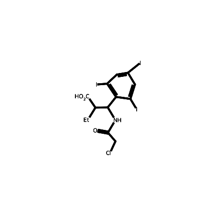 CCC(C(=O)O)C(NC(=O)CCl)c1c(I)cc(I)cc1I